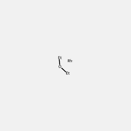 CCOCC.[Rh]